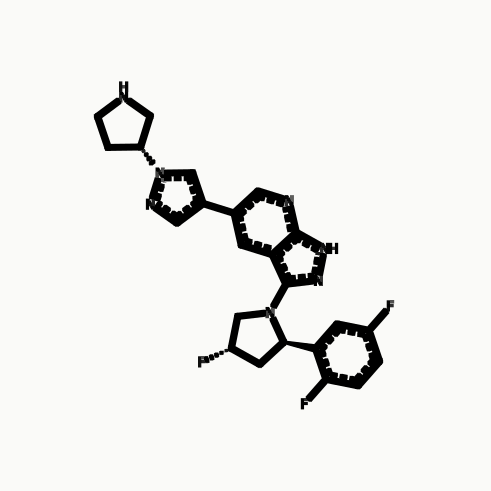 Fc1ccc(F)c([C@H]2C[C@H](F)CN2c2n[nH]c3ncc(-c4cnn([C@@H]5CCNC5)c4)cc23)c1